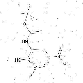 CC(C)(C)OC(=O)Nc1cc([N+](=O)[O-])cc(I)c1O